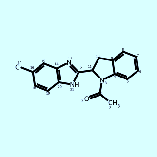 CC(=O)N1c2ccccc2CC1c1nc2cc(Cl)ccc2[nH]1